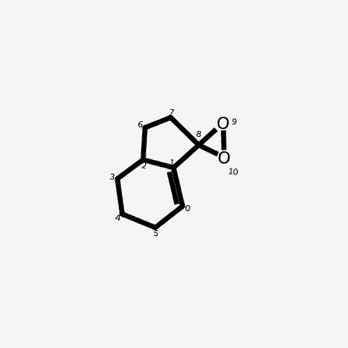 C1=C2C(CCC1)CCC21OO1